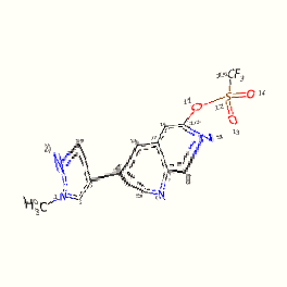 Cn1cc(-c2cnc3cnc(OS(=O)(=O)C(F)(F)F)cc3c2)cn1